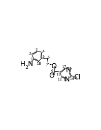 Nc1cccc(CCOC(=O)c2cnc(Cl)nc2)c1